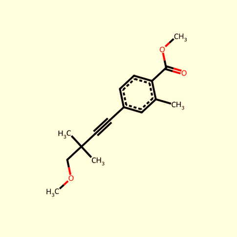 COCC(C)(C)C#Cc1ccc(C(=O)OC)c(C)c1